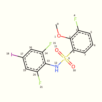 COc1c(F)cccc1S(=O)(=O)Nc1c(F)cc(I)cc1F